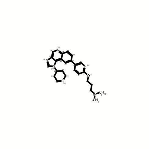 CN(C)CCCOc1ccc(-c2ccc3ncc4ncn(C5CCOCC5)c4c3c2)cn1